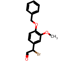 COc1cc(C(Br)C=O)ccc1OCc1ccccc1